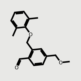 COCc1ccc(C=O)c(COc2c(C)cccc2C)c1